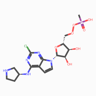 CP(=O)(O)OOC[C@H]1O[C@@H](n2ccc3c(N[C@H]4CCNC4)nc(Cl)nc32)[C@H](O)[C@@H]1O